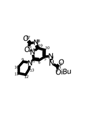 CC(C)COC(=O)N=Nc1cc(N2CCCCC2)n2oc(=O)nc2c1